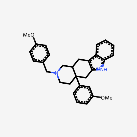 COc1ccc(CN2CCC3(c4cccc(OC)c4)Cc4[nH]c5ccccc5c4CC3C2)cc1